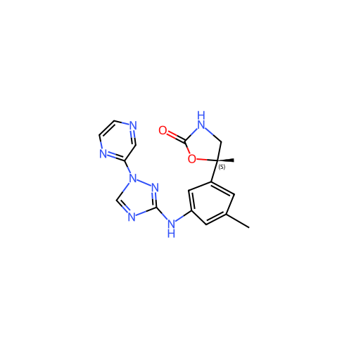 Cc1cc(Nc2ncn(-c3cnccn3)n2)cc([C@@]2(C)CNC(=O)O2)c1